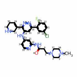 CN1CCN(CCC(=O)Nc2cc(Nc3cc(-c4cc(Cl)ccc4F)nnc3C3=CCCNC3)ccn2)CC1